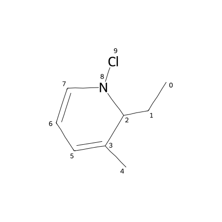 CCC1C(C)=CC=CN1Cl